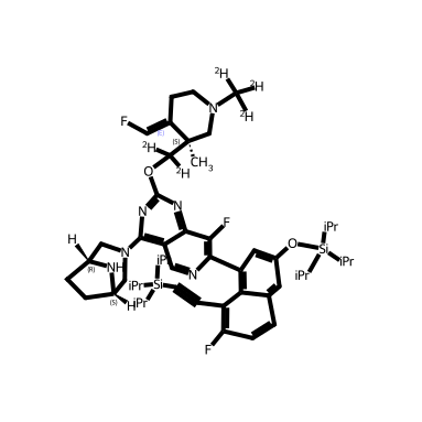 [2H]C([2H])([2H])N1CC/C(=C\F)[C@](C)(C([2H])([2H])Oc2nc(N3C[C@H]4CC[C@@H](C3)N4)c3cnc(-c4cc(O[Si](C(C)C)(C(C)C)C(C)C)cc5ccc(F)c(C#C[Si](C(C)C)(C(C)C)C(C)C)c45)c(F)c3n2)C1